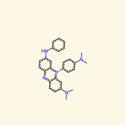 CN(C)c1ccc(-[n+]2c3cc(Nc4ccccc4)ccc3nc3ccc(N(C)C)cc32)cc1